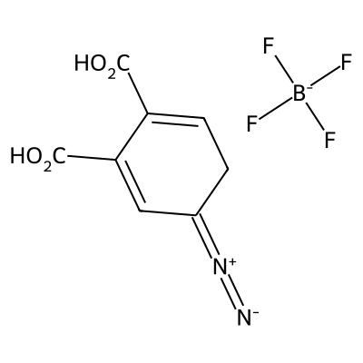 F[B-](F)(F)F.[N-]=[N+]=C1C=C(C(=O)O)C(C(=O)O)=CC1